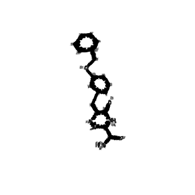 NC(=O)c1nnc([CH]c2cccc(OCc3ccccc3)c2)c(=O)[nH]1